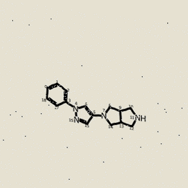 c1ccc(-n2cc(N3CC4CNCC4C3)cn2)cc1